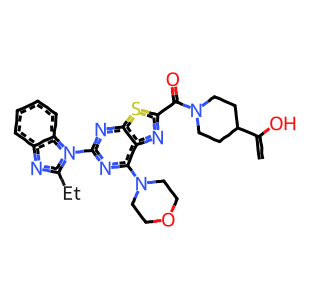 C=C(O)C1CCN(C(=O)c2nc3c(N4CCOCC4)nc(-n4c(CC)nc5ccccc54)nc3s2)CC1